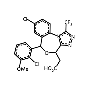 COc1cccc(C2OC(CC(=O)O)c3nnc(C(F)(F)F)n3-c3ccc(Cl)cc32)c1Cl